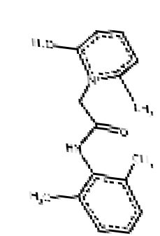 Cc1cccc(C)c1NC(=O)C[n+]1c(C)cccc1C